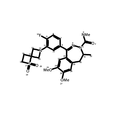 CNC(=O)N1N=C(c2ccc(F)c(N3CC4(CCS4(=O)=O)C3)c2)c2cc(OC)c(OC)cc2CC1C